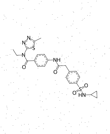 CCN(C(=O)c1ccc(NC(=O)Cc2ccc(S(=O)(=O)NC3CC3)cc2)cc1)c1nnc(C)s1